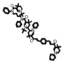 CC1(C)CCN(c2ccccc2)C=C1C(=O)/C=C/c1ccc(/C=C/C(=O)C2=CN(c3ccccc3)C(C3CC(C)(C)C(C(=O)N(CCCCN(C(=O)C4=CN(C(C)(C)C)CCC4(C)C)c4ccccc4)c4ccccc4)=CN3C(C)(C)C)CC2(C)C)cc1